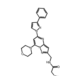 CCC(=O)NCc1cc2nc(-n3ccc(-c4ccccc4)n3)cc(N3CCOCC3)n2n1